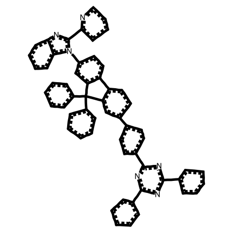 c1ccc(-c2nc(-c3ccccc3)nc(-c3ccc(-c4ccc5c(c4)C(c4ccccc4)(c4ccccc4)c4cc(-n6c(-c7ccccn7)nc7ccccc76)ccc4-5)cc3)n2)cc1